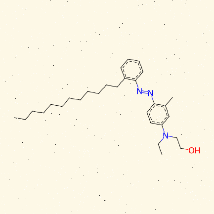 CCCCCCCCCCCCc1ccccc1N=Nc1ccc(N(CC)CCO)cc1C